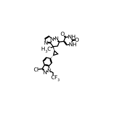 CC1([C@H]2C[C@@H]2c2ccc3c(Cl)nn(CC(F)(F)F)c3c2)CC(c2c[nH]c(=O)[nH]c2=O)=Nn2ccnc21